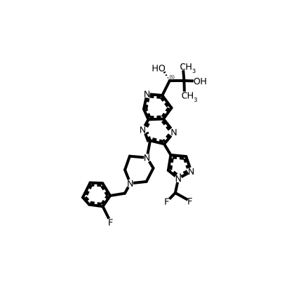 CC(C)(O)[C@@H](O)c1cc2nc(-c3cnn(C(F)F)c3)c(N3CCN(Cc4ccccc4F)CC3)nc2cn1